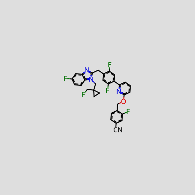 N#Cc1ccc(COc2cccc(-c3cc(F)c(Cc4nc5cc(F)ccc5n4CC4(CF)CC4)cc3F)n2)c(F)c1